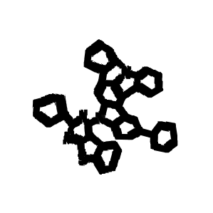 c1ccc(-c2ccc3c(c2)c2c4c5ccccc5n5c6ccccc6c(cc2n3-c2nc(-c3ccccc3)nc3sc6ccccc6c23)c45)cc1